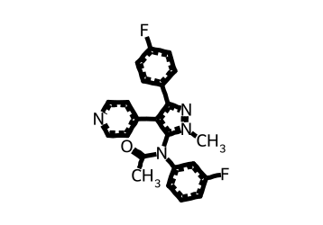 CC(=O)N(c1cccc(F)c1)c1c(-c2ccncc2)c(-c2ccc(F)cc2)nn1C